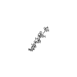 COC(=O)[C@@H](CCCCNC(=O)OC(C)(C)C)NC(=O)CNC(=O)CNC(=O)CNC(=O)n1ccc2c(N(C)C)ncnc21